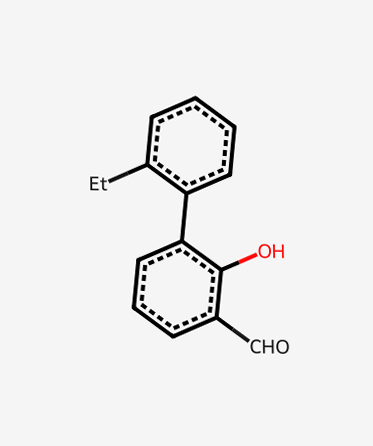 CCc1ccccc1-c1cccc(C=O)c1O